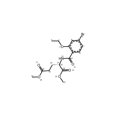 CCOc1cc(Br)ccc1C(=O)N[C@@H](CCC(=O)OC)C(=O)OC